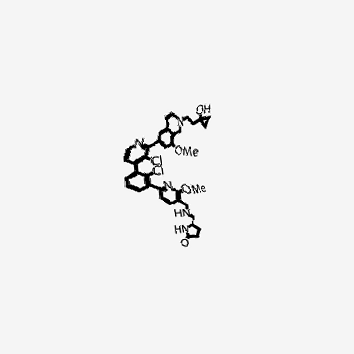 COc1cc(-c2nccc(-c3cccc(-c4ccc(CNC[C@H]5CCC(=O)N5)c(OC)n4)c3Cl)c2Cl)cc2c1CN(CCC1(O)CC1)CC2